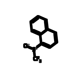 [O-][S+](c1cccc2ccccc12)C(F)(F)F